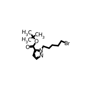 CC(C)(C)OC(=O)c1ccnn1CCCCCBr